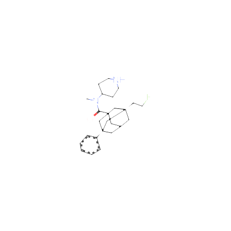 CN(C(=O)C12CC3C[C@@](CCF)(C1)C[C@](c1ccccc1)(C3)C2)C1CCNCC1